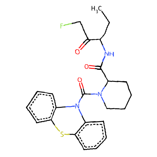 CCC(NC(=O)C1CCCCN1C(=O)N1c2ccccc2Sc2ccccc21)C(=O)CF